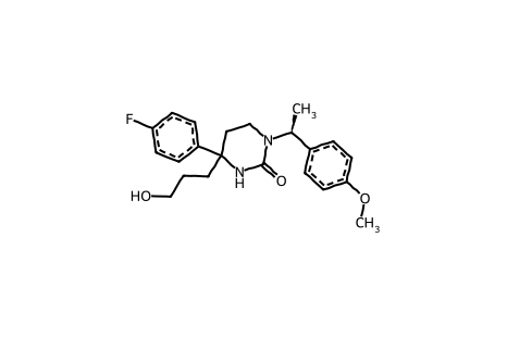 COc1ccc([C@H](C)N2CCC(CCCO)(c3ccc(F)cc3)NC2=O)cc1